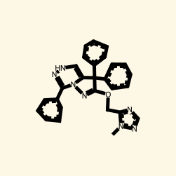 Cn1ncnc1COC1=NN2C(=CNN=C2c2ccccc2)C1(c1ccccc1)c1ccccc1